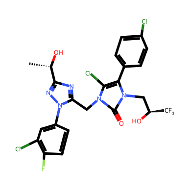 C[C@H](O)c1nc(Cn2c(Cl)c(-c3ccc(Cl)cc3)n(C[C@H](O)C(F)(F)F)c2=O)n(-c2ccc(F)c(Cl)c2)n1